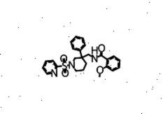 COc1ccccc1C(=O)NCC1(c2ccccc2)CCCN(S(=O)(=O)c2ccccn2)C1